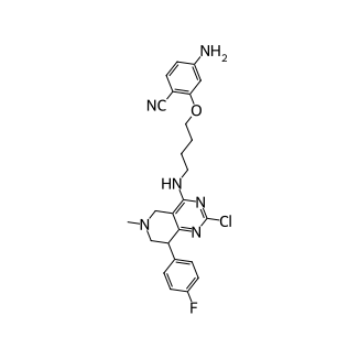 CN1Cc2c(NCCCCOc3cc(N)ccc3C#N)nc(Cl)nc2C(c2ccc(F)cc2)C1